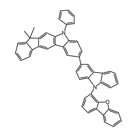 CC1(C)c2ccccc2-c2cc3c4cc(-c5ccc6c(c5)c5ccccc5n6-c5cccc6c5oc5ccccc56)ccc4n(-c4ccccc4)c3cc21